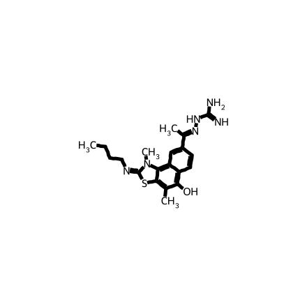 CCCC/N=c1/sc2c(C)c(O)c3ccc(/C(C)=N/NC(=N)N)cc3c2n1C